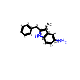 CC(=O)c1c(Cc2ccccc2)[nH]c2ccc(N)cc12